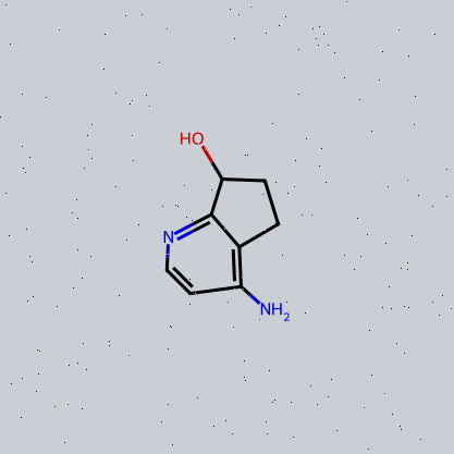 Nc1ccnc2c1CCC2O